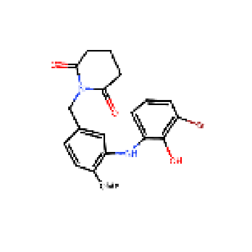 COc1ccc(CN2C(=O)CCCC2=O)cc1Nc1cccc(Br)c1O